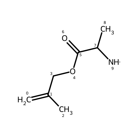 C=C(C)COC(=O)C(C)[NH]